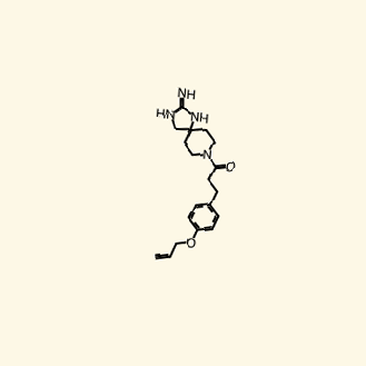 C=CCOc1ccc(CCC(=O)N2CCC3(CC2)CNC(=N)N3)cc1